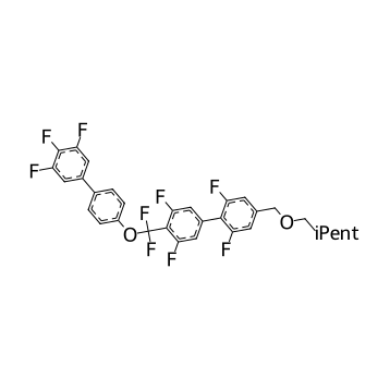 CCCC(C)COCc1cc(F)c(-c2cc(F)c(C(F)(F)Oc3ccc(-c4cc(F)c(F)c(F)c4)cc3)c(F)c2)c(F)c1